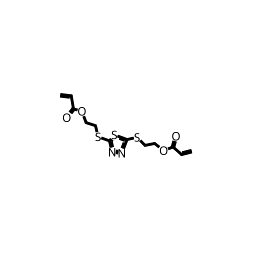 C=CC(=O)OCCSc1nnc(SCCOC(=O)C=C)s1